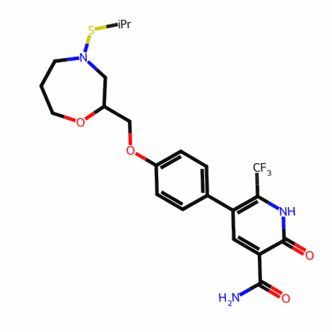 CC(C)SN1CCCOC(COc2ccc(-c3cc(C(N)=O)c(=O)[nH]c3C(F)(F)F)cc2)C1